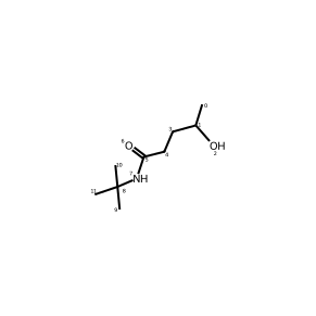 CC(O)CCC(=O)NC(C)(C)C